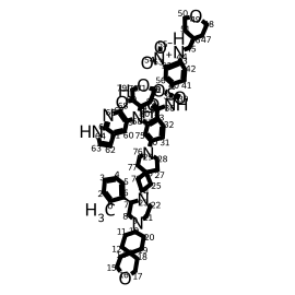 Cc1ccccc1[C@@H]1CN(C2CCC3(CCOCC3)CC2)CCN1C1CC2(CCN(c3ccc(C(=O)NS(=O)(=O)c4ccc(NCC5CCOCC5)c([N+](=O)[O-])c4)c(N4c5cc6cc[nH]c6nc5O[C@H]5COCC[C@@H]54)c3)CC2)C1